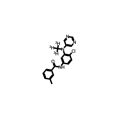 [2H]C([2H])([2H])N(c1cncnc1)c1cc(NC(=O)c2cccc(C)c2)ccc1Cl